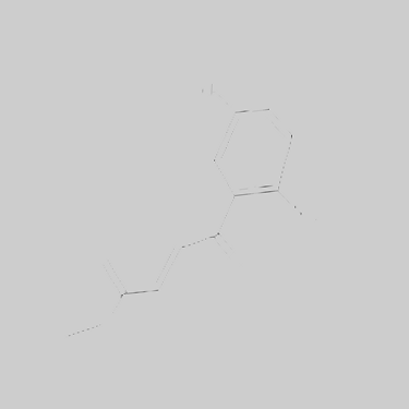 COC(=O)/C=C/C(=O)c1cc(Cl)ccc1N